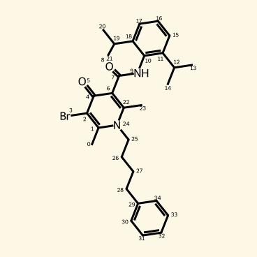 Cc1c(Br)c(=O)c(C(=O)Nc2c(C(C)C)cccc2C(C)C)c(C)n1CCCCc1ccccc1